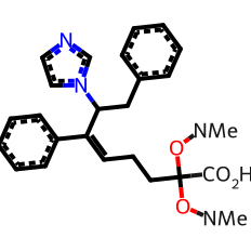 CNOC(CCC=C(c1ccccc1)C(Cc1ccccc1)n1ccnc1)(ONC)C(=O)O